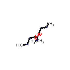 CCC/C=C\CCCC/C=C\CCCCC(=O)OC[C@H](CCN(C)C)OC(=O)CCCC/C=C\CCCC/C=C\CCCCC